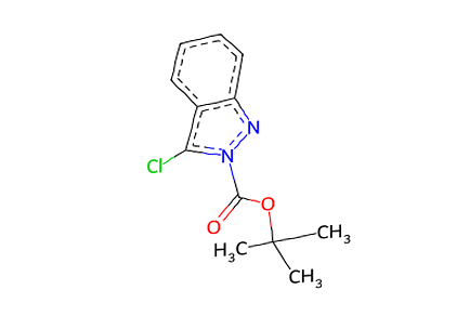 CC(C)(C)OC(=O)n1nc2ccccc2c1Cl